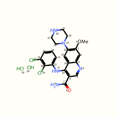 COc1cc2ncc(C(N)=O)c(Nc3cccc(Cl)c3Cl)c2cc1N1CCNCC1.Cl.Cl